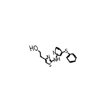 OCCc1csc(Nc2cc(Sc3ccccc3)ccn2)n1